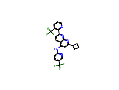 FC(F)(F)c1ccc(Nc2cc(C3CCC3)nc3nc(-c4ncccc4C(F)(F)F)ccc23)nc1